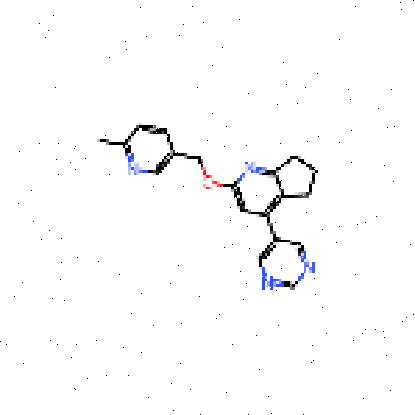 Cc1ccc(COc2cc(-c3cncnc3)c3c(n2)CCC3)cn1